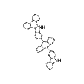 c1ccc2c(c1)[nH]c1ccc(-c3c4ccccc4c(-c4ccc5c(c4)[nH]c4c6ccccc6c6ccccc6c54)c4ccccc34)cc12